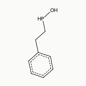 OPCCc1ccccc1